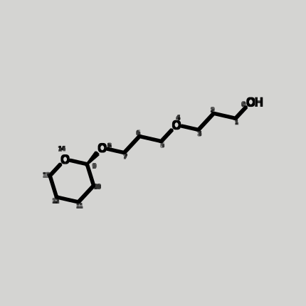 OCCCOCCCO[C@H]1CCCCO1